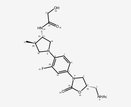 CC(=O)NC[C@H]1CN(c2ccc(N3C[C@@H](C)[C@H](NC(=O)CO)C3)c(F)c2)C(=O)O1